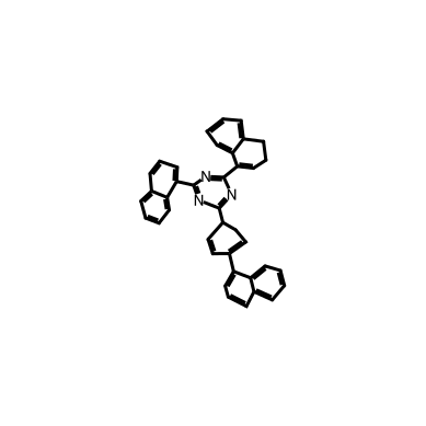 C1=CC(c2nc(C3=CCCc4ccccc43)nc(-c3cccc4ccccc34)n2)CC=C1c1cccc2ccccc12